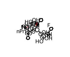 CCC[C@H](OC1C(OC(=O)c2ccccc2)[C@H](O[C@@H]2CC(CO[C@H]3OC(CO)[C@@H](O)C(n4cc(-c5cccc(F)c5)nn4)C3O)CC(n3cc(-c4ccccc4)nn3)C2O[C@@H]2OC(C)[C@@H](O)C(O)C2O)OC(CO)[C@@H]1O)C(=O)N1CCC1